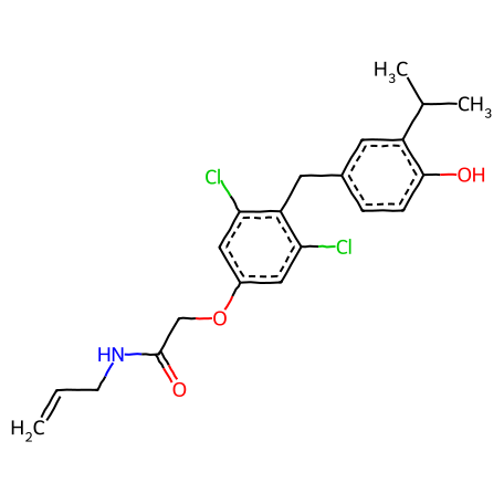 C=CCNC(=O)COc1cc(Cl)c(Cc2ccc(O)c(C(C)C)c2)c(Cl)c1